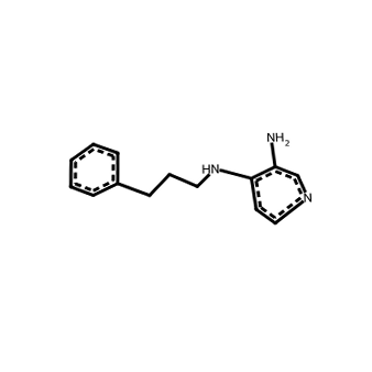 Nc1cnccc1NCCCc1ccccc1